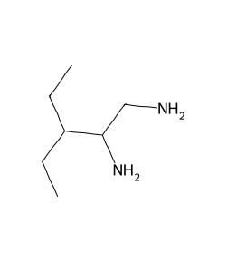 CCC(CC)C(N)CN